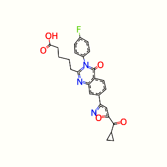 O=C(O)CCCCc1nc2cc(-c3cc(C(=O)C4CC4)on3)ccc2c(=O)n1-c1ccc(F)cc1